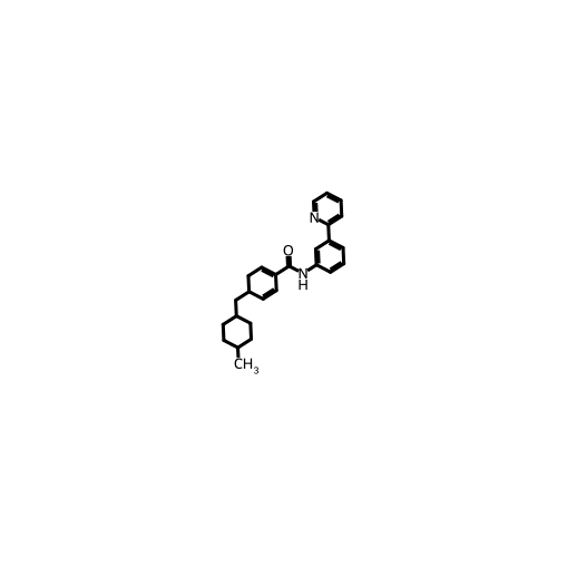 CC1CCC(CC2C=CC(C(=O)Nc3cccc(-c4ccccn4)c3)=CC2)CC1